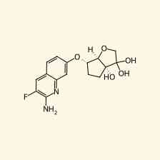 Nc1nc2cc(O[C@H]3CC[C@@]4(O)[C@@H]3OCC4(O)O)ccc2cc1F